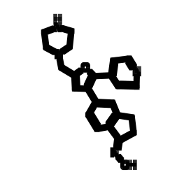 ON=C1CCc2cc(-c3cc(CN4CCNCC4)oc3-c3ccncc3)ccc21